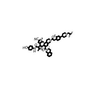 Cc1c(-c2c(C(=O)Nc3ccc(O)cc3)c(C)n(C)c2-c2cc3c(cc2C(=O)N2Cc4ccccc4C[C@H]2C)CN(C(=O)Cc2ccc(C4CCN(CC(F)F)CC4)cc2F)CC3)cc(C#N)n1C